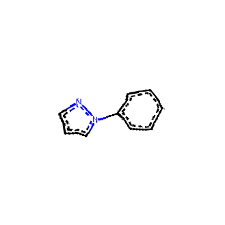 [c]1ccc(-n2cccn2)cc1